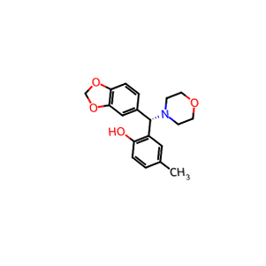 Cc1ccc(O)c([C@H](c2ccc3c(c2)OCO3)N2CCOCC2)c1